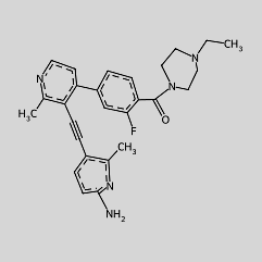 CCN1CCN(C(=O)c2ccc(-c3ccnc(C)c3C#Cc3ccc(N)nc3C)cc2F)CC1